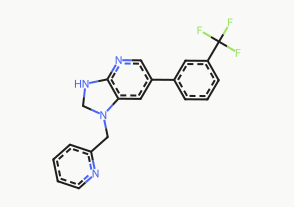 FC(F)(F)c1cccc(-c2cnc3c(c2)N(Cc2ccccn2)CN3)c1